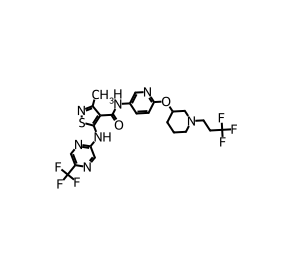 Cc1nsc(Nc2cnc(C(F)(F)F)cn2)c1C(=O)Nc1ccc(OC2CCCN(CCC(F)(F)F)C2)nc1